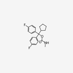 CNC(=O)OC(c1ccc(F)cc1)(c1ccc(F)cc1)C1CCCC1